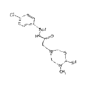 CN1CN(CC(=O)NNc2ccc(Cl)cc2)CSC1S